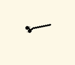 CCCCCCCCCCCCCCCCCCC#Cc1cc[c]cc1Sc1ccccc1